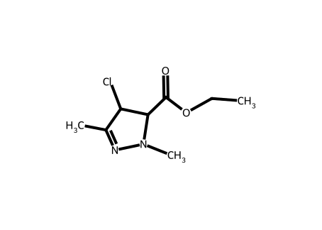 CCOC(=O)C1C(Cl)C(C)=NN1C